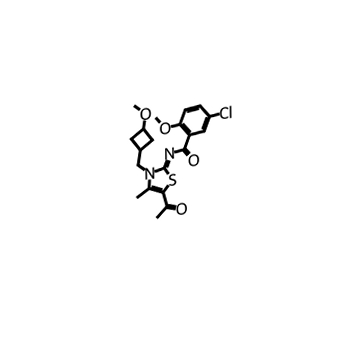 COc1ccc(Cl)cc1C(=O)N=c1sc(C(C)=O)c(C)n1CC1CC(OC)C1